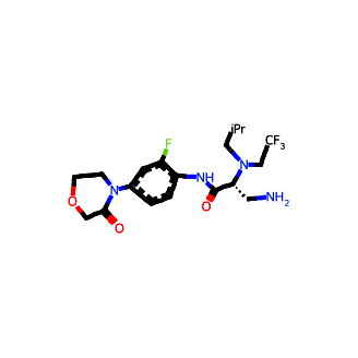 CC(C)CN(CC(F)(F)F)[C@H](CN)C(=O)Nc1ccc(N2CCOCC2=O)cc1F